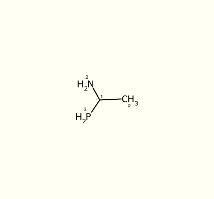 C[C](N)P